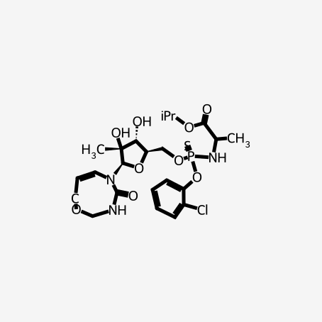 CC(C)OC(=O)C(C)NP(=S)(OC[C@H]1O[C@@H](N2/C=C\COCNC2=O)[C@](C)(O)[C@@H]1O)Oc1ccccc1Cl